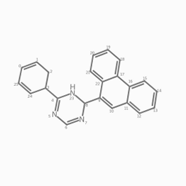 C1=CCC(C2=NC=NC(c3cc4ccccc4c4ccccc34)N2)C=C1